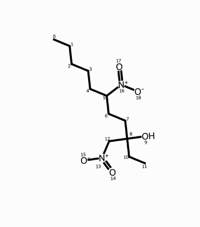 CCCCCC(CCC(O)(CC)C[N+](=O)[O-])[N+](=O)[O-]